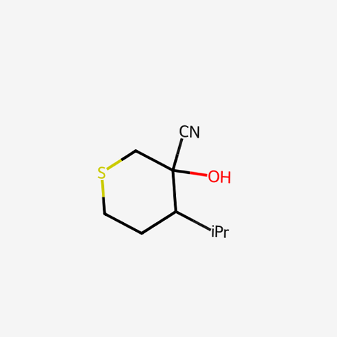 CC(C)C1CCSCC1(O)C#N